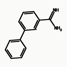 N=C(N)c1[c]c(-c2ccccc2)ccc1